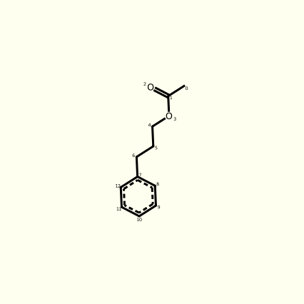 CC(=O)OCCCc1ccccc1